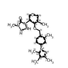 Cc1cc(-n2nc(C)c(C)c2C)ccc1COc1c(C)cccc1N1NNN(C)C1=O